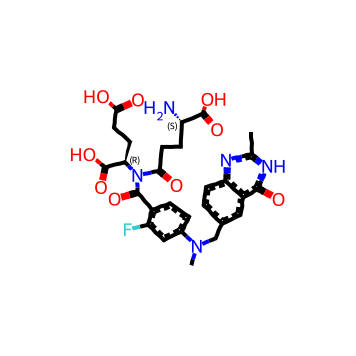 Cc1nc2ccc(CN(C)c3ccc(C(=O)N(C(=O)CC[C@H](N)C(=O)O)[C@H](CCC(=O)O)C(=O)O)c(F)c3)cc2c(=O)[nH]1